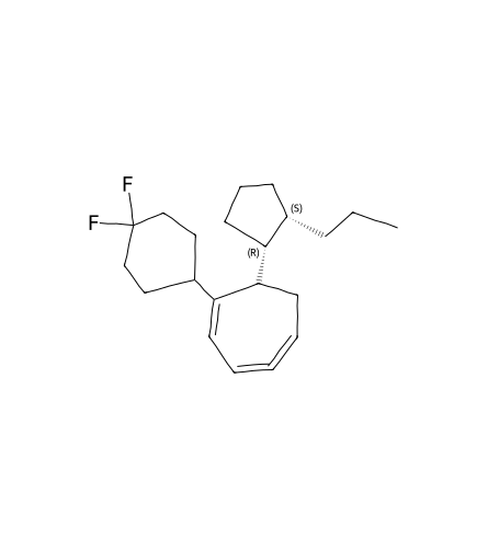 CCC[C@H]1CCC[C@H]1C1CC=C=CC=C1C1CCC(F)(F)CC1